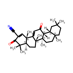 CC1(C)CC[C@]2(C)CC[C@]3(C)[C@H](C(=O)C=C4[C@@]5(C)C=C(C#N)C(=O)C(C)(C)[C@@H]5CC[C@]43C)[C@@H]2C1